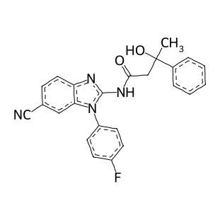 CC(O)(CC(=O)Nc1nc2ccc(C#N)cc2n1-c1ccc(F)cc1)c1ccccc1